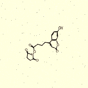 O=C(CCCc1cc(=O)oc2cc(O)ccc12)ON1C(=O)CCC1=O